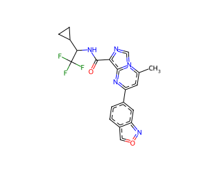 Cc1cc(-c2ccc3conc3c2)nc2c(C(=O)NC(C3CC3)C(F)(F)F)ncn12